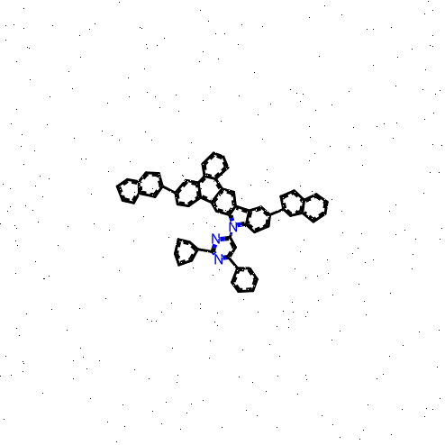 c1ccc(-c2cc(-n3c4ccc(-c5ccc6ccccc6c5)cc4c4cc5c6ccccc6c6cc(-c7ccc8ccccc8c7)ccc6c5cc43)nc(-c3ccccc3)n2)cc1